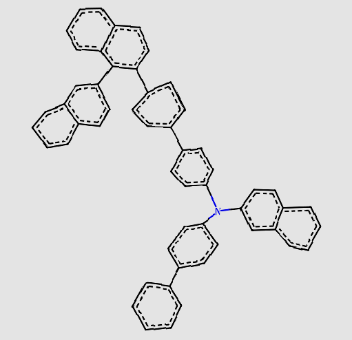 c1ccc(-c2ccc(N(c3ccc(-c4ccc(-c5ccc6ccccc6c5-c5ccc6ccccc6c5)cc4)cc3)c3ccc4ccccc4c3)cc2)cc1